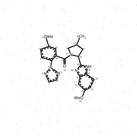 COc1ccc(-n2nccn2)c(C(=O)N2CC(C)CC2c2nc3cc(OC)ccc3[nH]2)c1